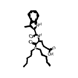 CCCCCN(CCCCC)C(=O)C(CCC(=O)O)NC(=O)c1[nH]c2ccccc2c1C